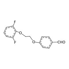 O=Cc1ccc(OCCOc2c(F)cccc2F)cc1